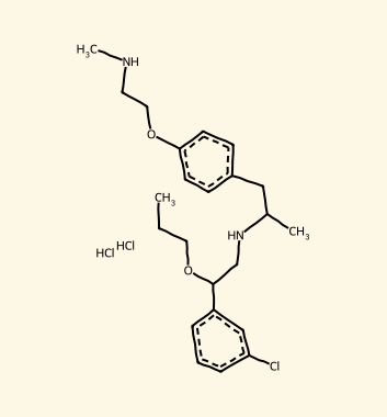 CCCOC(CNC(C)Cc1ccc(OCCNC)cc1)c1cccc(Cl)c1.Cl.Cl